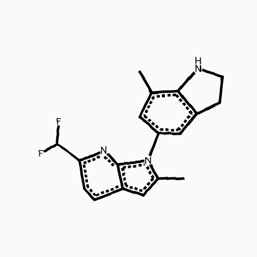 Cc1cc(-n2c(C)cc3ccc(C(F)F)nc32)cc2c1NCC2